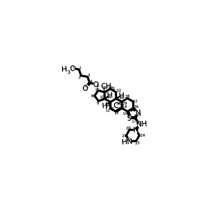 CCCCC(=O)O[C@H]1CC[C@H]2[C@@H]3CC=C4c5sc(NN6CCNCC6)nc5CC[C@]4(C)[C@H]3CC[C@]12C